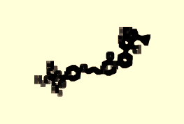 CC(C)(C)OC(=O)N1CCC(OCCCN2CCN(c3cccc(-c4cnc5[nH]cc(C6CC6)c5c4Cl)c3)C(=O)C2)CC1